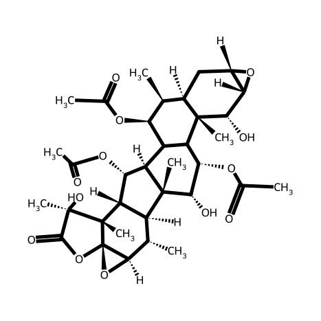 CC(=O)O[C@H]1[C@@H]2[C@H]([C@H](C)[C@H]3O[C@]34OC(=O)[C@@](C)(O)[C@]24C)[C@]2(C)[C@@H]1C1C([C@H](OC(C)=O)[C@@H]2O)[C@]2(C)[C@H](C[C@@H]3O[C@@H]3[C@@H]2O)[C@H](C)[C@@H]1OC(C)=O